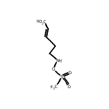 O=C(O)C=CCCNOS(=O)(=O)C(F)(F)F